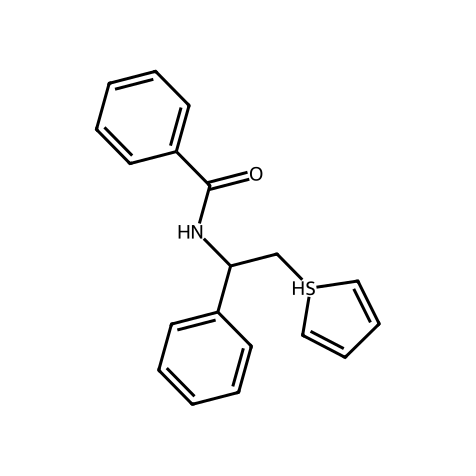 O=C(NC(C[SH]1C=CC=C1)c1ccccc1)c1ccccc1